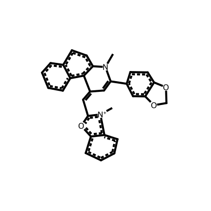 CN1C(c2ccc3c(c2)OCO3)=C/C(=C\c2oc3ccccc3[n+]2C)c2c1ccc1ccccc21